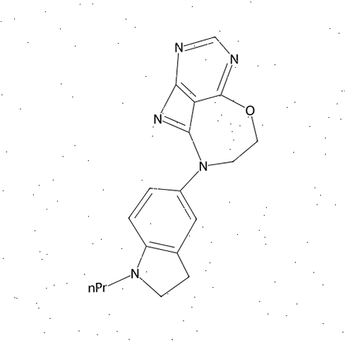 CCCN1CCc2cc(N3CCOc4ncnc5c4C3=N5)ccc21